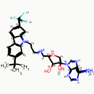 CC(C)(C)c1ccc2c3ccc(C(F)(F)F)cc3n(CCNCC3OCC(O)(n4cnc5c(N)ncnc54)C3O)c2c1